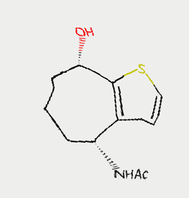 CC(=O)N[C@@H]1CCC[C@H](O)c2sccc21